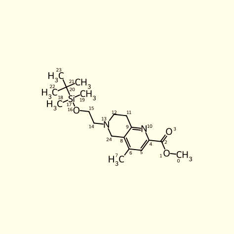 COC(=O)c1cc(C)c2c(n1)CCN(CCO[Si](C)(C)C(C)(C)C)C2